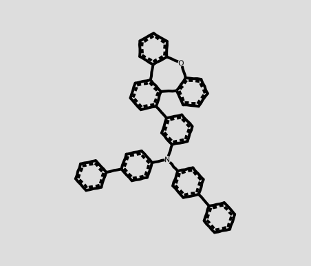 c1ccc(-c2ccc(N(c3ccc(-c4ccccc4)cc3)c3cccc(-c4cccc5c4-c4ccccc4Oc4ccccc4-5)c3)cc2)cc1